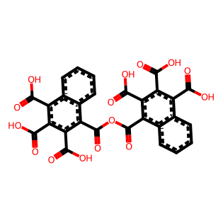 O=C(O)c1c(C(=O)O)c(C(=O)OC(=O)c2c(C(=O)O)c(C(=O)O)c(C(=O)O)c3ccccc23)c2ccccc2c1C(=O)O